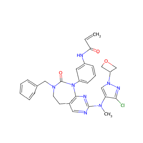 C=CC(=O)Nc1cccc(N2C(=O)N(Cc3ccccc3)CCc3cnc(N(C)c4cn(C5COC5)nc4Cl)nc32)c1